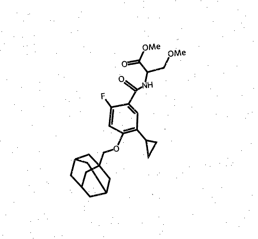 COCC(NC(=O)c1cc(C2CC2)c(OCC23CC4CC(CC(C4)C2)C3)cc1F)C(=O)OC